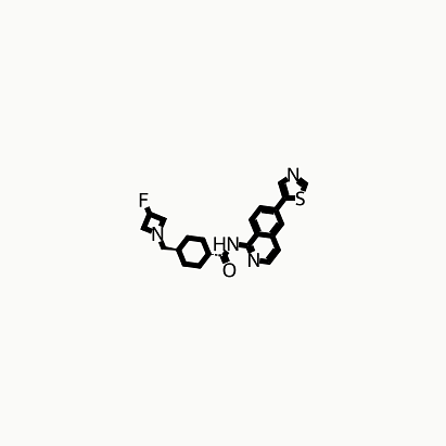 O=C(Nc1nccc2cc(-c3cncs3)ccc12)[C@H]1CC[C@H](CN2CC(F)C2)CC1